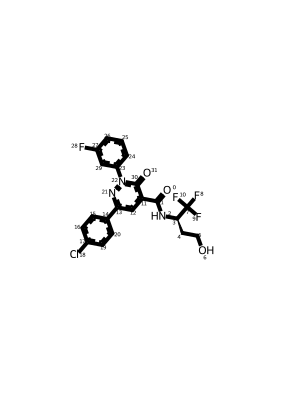 O=C(N[C@H](CCO)C(F)(F)F)c1cc(-c2ccc(Cl)cc2)nn(-c2cccc(F)c2)c1=O